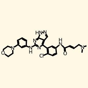 CN(C)C/C=C/C(=O)Nc1ccc(Cl)c(-c2nc(Nc3cccc(N4CCOCC4)c3)nc3[nH]ncc23)c1